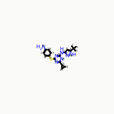 CC(C)(C)c1cc(Nc2nc(Sc3ccc(N)cc3)nc(C3CC3)n2)n[nH]1